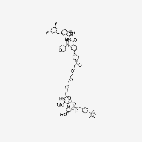 Cc1ncsc1-c1ccc(CNC(=O)[C@@H]2C[C@@H](O)CN2C(=O)C(NC(=O)CCOCCOCCOCCC(=O)N2CCN(c3ccc(C(=O)Nc4n[nH]c5ccc(Cc6cc(F)cc(F)c6)cc45)c(NC4CCOCC4)c3)CC2)C(C)(C)C)cc1